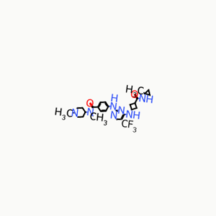 CN1CCC(N(C)C(=O)c2ccc(Nc3ncc(C(F)(F)F)c(NC4CC(C(=O)NC5(C)CC5)C4)n3)cc2)CC1